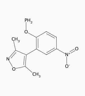 Cc1noc(C)c1-c1cc([N+](=O)[O-])ccc1OP